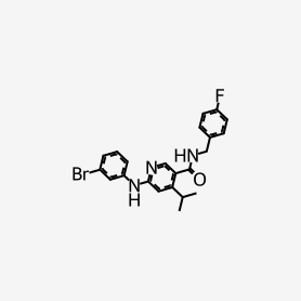 CC(C)c1cc(Nc2cccc(Br)c2)ncc1C(=O)NCc1ccc(F)cc1